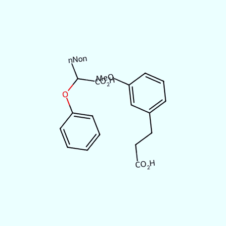 CCCCCCCCCC(Oc1ccccc1)C(=O)O.COc1cccc(CCC(=O)O)c1